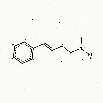 CCN(C)CCC=Cc1ccccc1